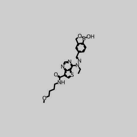 CCN(/N=C/c1ccc2c(c1)COB2O)c1ncnc2c(C(=O)NCCCCOC)csc12